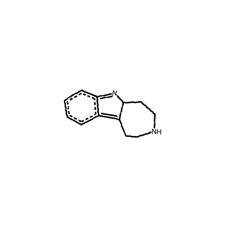 c1ccc2c(c1)=NC1CCNCCC=21